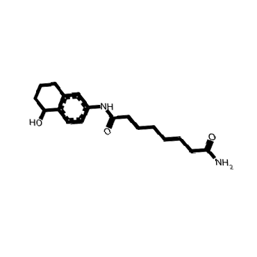 NC(=O)CCCCCCC(=O)Nc1ccc2c(c1)CCCC2O